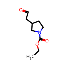 CCOC(=O)N1CCC(CC=O)C1